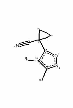 Cc1noc(C2(C#N)CC2)c1C